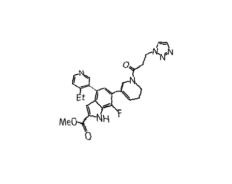 CCc1ccncc1-c1cc(C2=CCCN(C(=O)CCn3ccnn3)C2)c(F)c2[nH]c(C(=O)OC)cc12